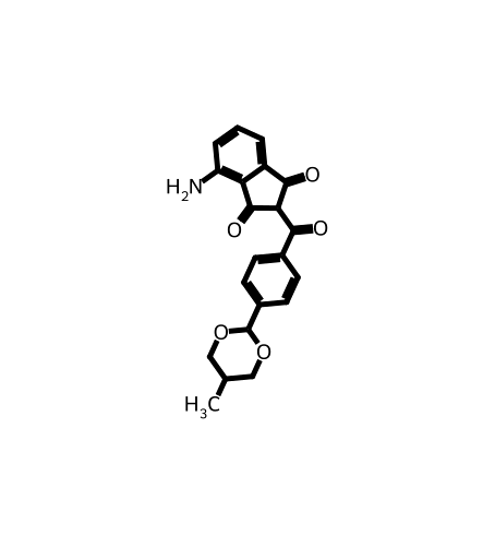 CC1COC(c2ccc(C(=O)C3C(=O)c4cccc(N)c4C3=O)cc2)OC1